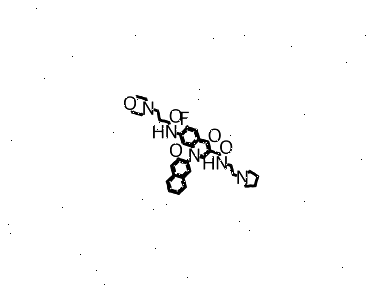 O=C(CCN1CCOCC1)Nc1c(F)cc2c(=O)c(C(=O)NCCN3CCCC3)cn3c2c1Oc1cc2ccccc2cc1-3